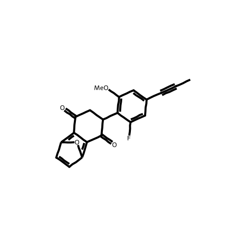 CC#Cc1cc(F)c(C2CC(=O)c3c(c4ccc3o4)C2=O)c(OC)c1